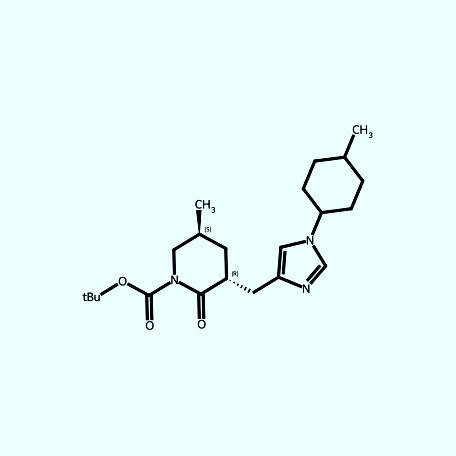 CC1CCC(n2cnc(C[C@H]3C[C@H](C)CN(C(=O)OC(C)(C)C)C3=O)c2)CC1